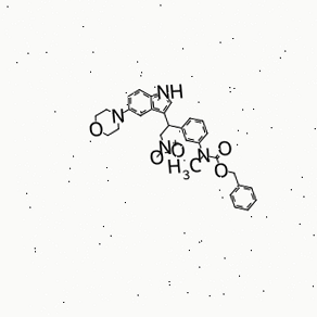 CN(C(=O)OCc1ccccc1)c1cccc(C(C[N+](=O)[O-])c2c[nH]c3ccc(N4CCOCC4)cc23)c1